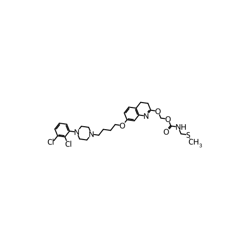 CSCNC(=O)OCOC1=Nc2cc(OCCCCN3CCN(c4cccc(Cl)c4Cl)CC3)ccc2CC1